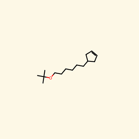 CC(C)(C)OCCCCCCC1CC=CC1